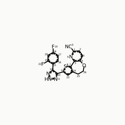 N#Cc1ccc2c(n1)-c1sc(-c3n[nH]nc3-c3ccc(F)cc3F)cc1CCO2